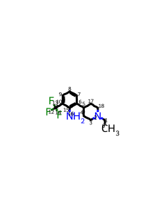 CCN1CCC(c2cccc(C(F)(F)F)c2N)CC1